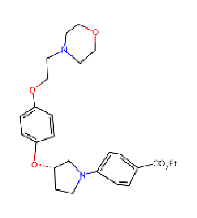 CCOC(=O)c1ccc(N2CC[C@H](Oc3ccc(OCCN4CCOCC4)cc3)C2)cc1